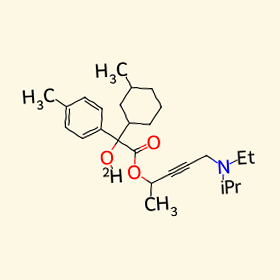 [2H]OC(C(=O)OC(C)C#CCN(CC)C(C)C)(c1ccc(C)cc1)C1CCCC(C)C1